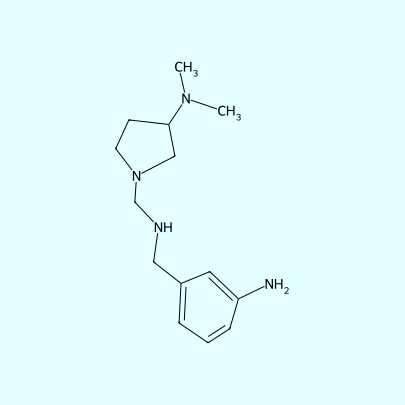 CN(C)C1CCN(CNCc2cccc(N)c2)C1